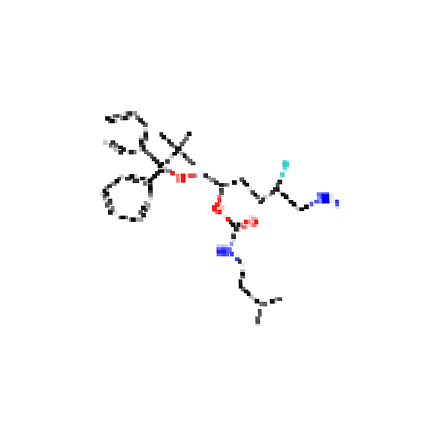 CC(C)CCNC(=O)OC(CCC(F)CN)CO[Si](c1ccccc1)(c1ccccc1)C(C)(C)C